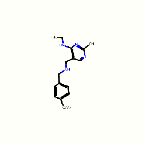 COc1ccc(CNCc2cnc(C#N)nc2NCC(C)(C)C)cc1